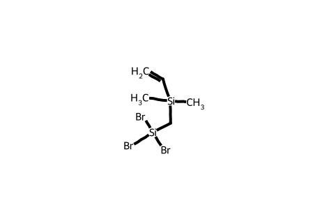 C=C[Si](C)(C)C[Si](Br)(Br)Br